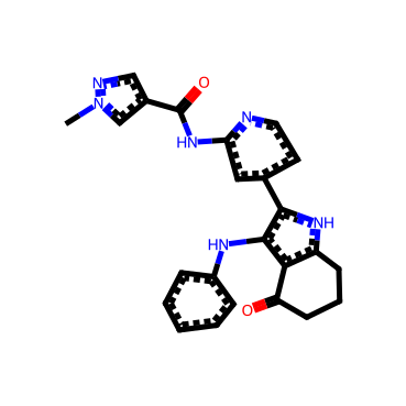 Cn1cc(C(=O)Nc2cc(-c3[nH]c4c(c3Nc3ccccc3)C(=O)CCC4)ccn2)cn1